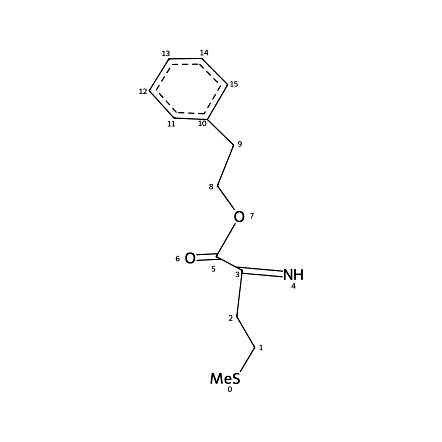 CSCCC(=N)C(=O)OCCc1ccccc1